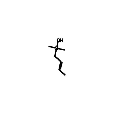 CC=CC[Si](C)(C)O